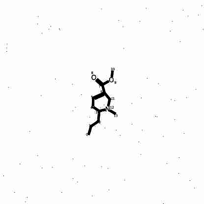 CCCC1CC=C(C(=O)OC)CN1C